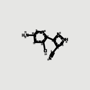 N#Cc1c[nH]nc1-c1ncc(N)cc1Cl